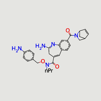 CCCN(OCc1ccc(N)cc1)C(=O)C1=Cc2ccc(C(=O)N3CC4C=CC3C4)cc2N=C(N)C1